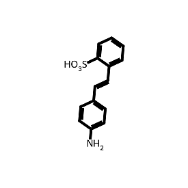 Nc1ccc(C=Cc2ccccc2S(=O)(=O)O)cc1